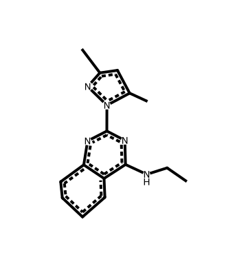 CCNc1nc(-n2nc(C)cc2C)nc2ccccc12